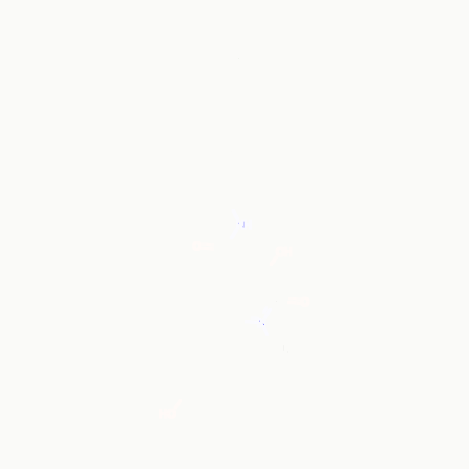 Cn1c(-c2ccc(O)cc2)cc(C(=O)NCCCc2ccc(Cl)c(Cl)c2)c(O)c1=O